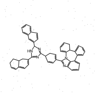 C1=CCC2C(=C1)n1c(C3=CCC(C4=NC(c5ccc6ccccc6c5)NC(C5=CC=C6C=CCCC6C5)=N4)C=C3)nc3cccc(c31)-c1ccccc12